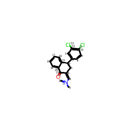 CN(C)C=C1CC(c2ccc(Cl)c(Cl)c2)c2ccccc2C1=O